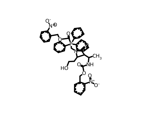 CC(NC(=O)OCc1ccccc1[N+](=O)[O-])C1C(=O)N(CP(C(=O)OCc2ccccc2[N+](=O)[O-])(c2ccccc2)(c2ccccc2)c2ccccc2)C1CCO